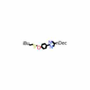 CCCCCCCCCCc1cnc(-c2ccc(OCSCCC(C)CC)cc2)nc1